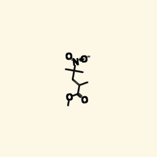 COC(=O)C(C)CC(C)(C)[N+](=O)[O-]